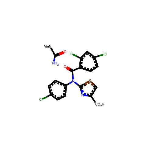 CNC(N)=O.O=C(O)c1csc(N(C(=O)c2ccc(Cl)cc2Cl)c2ccc(Cl)cc2)n1